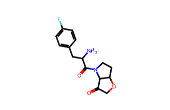 NC(Cc1ccc(F)cc1)C(=O)N1CCC2OCC(=O)C21